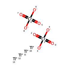 [O]=[Cr](=[O])([O-])[O-].[O]=[Cr](=[O])([O-])[O-].[Tl+].[Tl+].[Tl+].[Tl+]